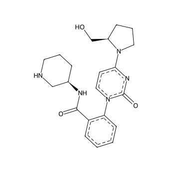 O=C(N[C@@H]1CCCNC1)c1ccccc1-n1ccc(N2CCC[C@@H]2CO)nc1=O